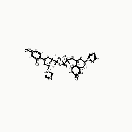 FC(F)(CC(CCn1cncn1)c1ccc(Cl)cc1Cl)C(F)(F)OC(F)(F)C(F)(F)CC(CCn1cncn1)c1ccc(Cl)cc1Cl